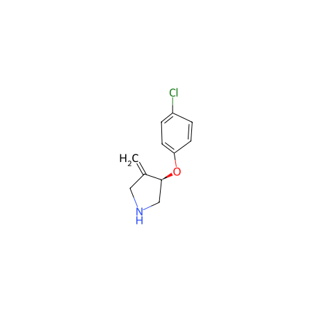 C=C1CNC[C@@H]1Oc1ccc(Cl)cc1